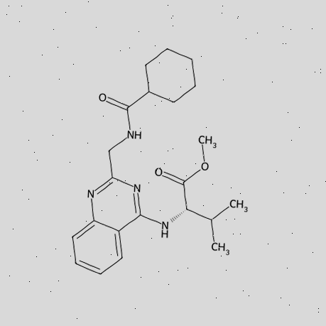 COC(=O)[C@@H](Nc1nc(CNC(=O)C2CCCCC2)nc2ccccc12)C(C)C